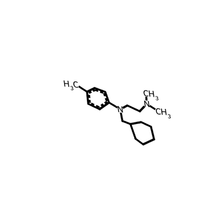 Cc1ccc(N(CCN(C)C)CC2CCCCC2)cc1